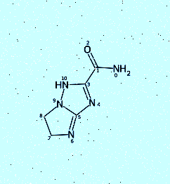 NC(=O)C1=NC2=NCCN2N1